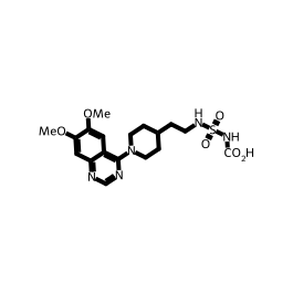 COc1cc2ncnc(N3CCC(CCNS(=O)(=O)NC(=O)O)CC3)c2cc1OC